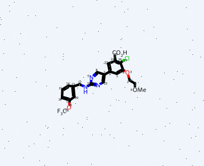 COCCOc1cc(-c2cnc(NCc3cccc(OC(F)(F)F)c3)nc2)cc(C(=O)O)c1Cl